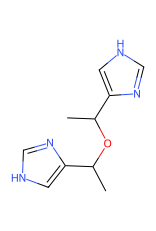 CC(OC(C)c1c[nH]cn1)c1c[nH]cn1